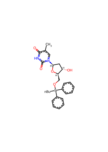 CCCC[Si](OC[C@H]1O[C@@H](n2cc(C)c(=O)[nH]c2=O)C[C@@H]1O)(c1ccccc1)c1ccccc1